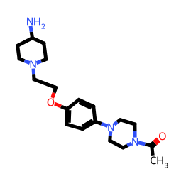 CC(=O)N1CCN(c2ccc(OCCN3CCC(N)CC3)cc2)CC1